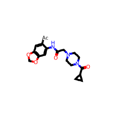 CC(=O)c1cc2c(cc1NC(=O)CN1CCN(C(=O)C3CC3)CC1)OCO2